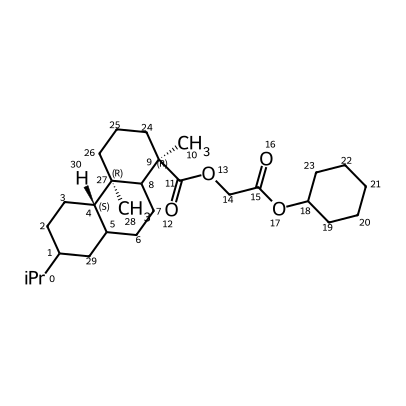 CC(C)C1CC[C@H]2C(CCC3[C@](C)(C(=O)OCC(=O)OC4CCCCC4)CCC[C@@]32C)C1